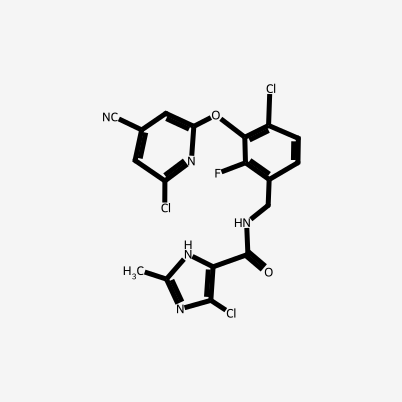 Cc1nc(Cl)c(C(=O)NCc2ccc(Cl)c(Oc3cc(C#N)cc(Cl)n3)c2F)[nH]1